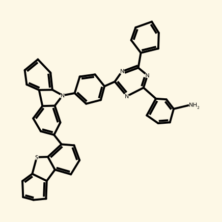 Nc1cccc(-c2nc(-c3ccccc3)nc(-c3ccc(-n4c5ccccc5c5ccc(-c6cccc7c6sc6ccccc67)cc54)cc3)n2)c1